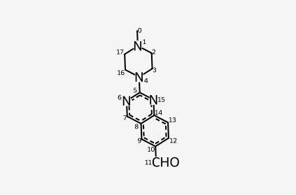 CN1CCN(c2ncc3cc(C=O)ccc3n2)CC1